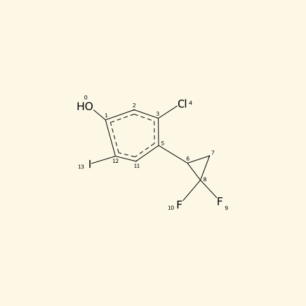 Oc1cc(Cl)c(C2CC2(F)F)cc1I